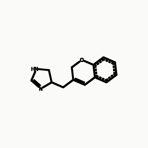 C1=NC(CC2=Cc3ccccc3OC2)CN1